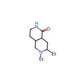 CCC1CC2C(=O)NCCC2CN1CC